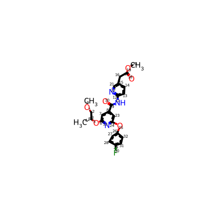 COC[C@@H](C)Oc1cc(C(=O)Nc2ccc(CC(=O)OC)cn2)cc(Oc2ccc(F)cc2)n1